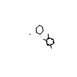 CO[C@@H]1CCCC[C@H]1Oc1cc(F)ccc1C